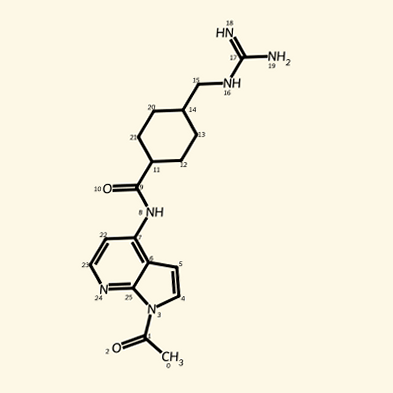 CC(=O)n1ccc2c(NC(=O)C3CCC(CNC(=N)N)CC3)ccnc21